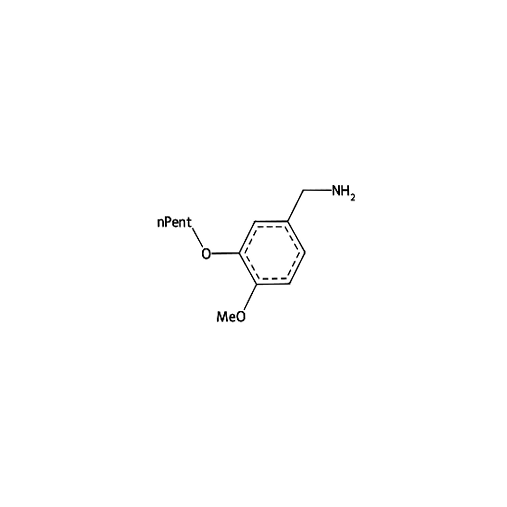 CCCCCOc1cc(CN)ccc1OC